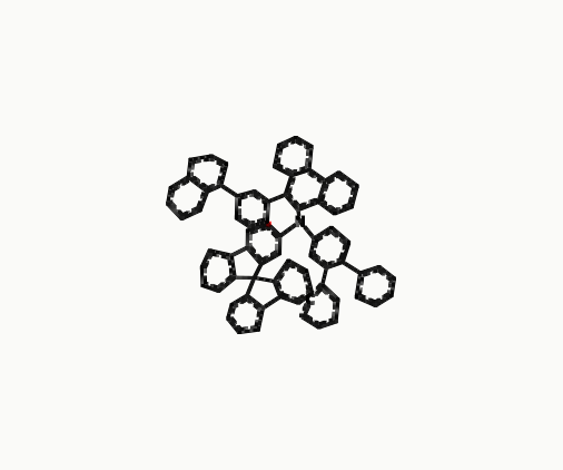 c1ccc(-c2ccc(N(c3ccc4c(c3)C3(c5ccccc5-c5ccccc53)c3ccccc3-4)c3c(-c4cccc(-c5cccc6ccccc56)c4)c4ccccc4c4ccccc34)cc2-c2ccccc2)cc1